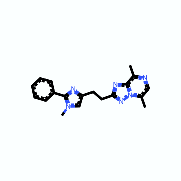 Cc1ncc(C)n2nc(CCc3cn(C)c(-c4ccccc4)n3)nc12